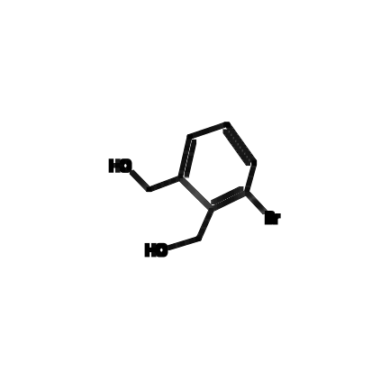 OCc1cccc(Br)c1CO